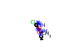 C[C@H](Nc1nnc(-c2ccc(Cl)c3nn[nH]c23)o1)C(=O)N1CCC2(CC1)CC2